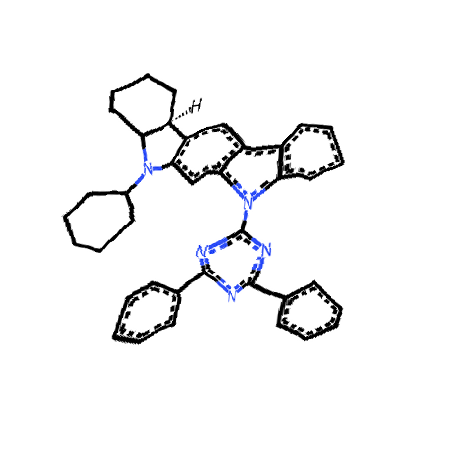 c1ccc(-c2nc(-c3ccccc3)nc(-n3c4ccccc4c4cc5c(cc43)N(C3CCCCC3)C3CCCC[C@@H]53)n2)cc1